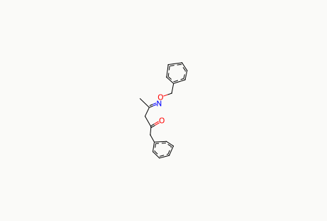 CC(CC(=O)Cc1ccccc1)=NOCc1ccccc1